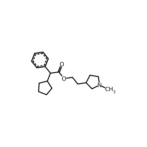 CN1CCC(CCOC(=O)C(c2ccccc2)C2CCCC2)C1